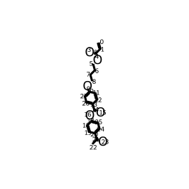 C=CC(=O)OCCCCOc1ccc(C(=O)Oc2ccc(C(C)=O)cc2)cc1